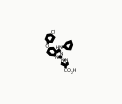 O=C(O)c1cnn(-c2nc(Nc3ccccc3)c3cc(Oc4ccc(Cl)cc4)ccc3n2)c1